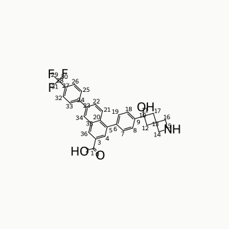 O=C(O)c1cc(-c2ccc(C3(O)CC4(CNC4)C3)cc2)c2ccc(-c3ccc(C(F)(F)F)cc3)cc2c1